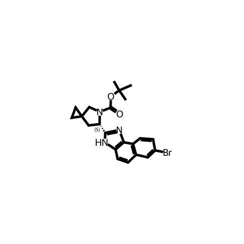 CC(C)(C)OC(=O)N1CC2(CC2)C[C@H]1c1nc2c(ccc3cc(Br)ccc32)[nH]1